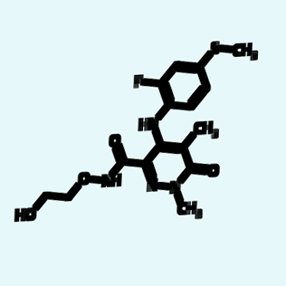 CSc1ccc(Nc2c(C(=O)NOCCO)nn(C)c(=O)c2C)c(F)c1